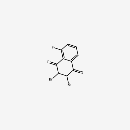 O=C1c2cccc(F)c2C(=O)C(Br)C1Br